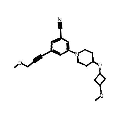 COCC#Cc1cc(C#N)cc(N2CCC(OC3CC(OC)C3)CC2)c1